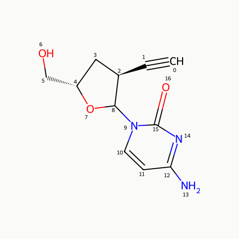 C#C[C@@H]1C[C@@H](CO)OC1n1ccc(N)nc1=O